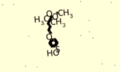 CCOC(=O)C(C)(C)CCCCOc1ccc(SO)cc1